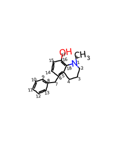 CN1CCCc2c(Cc3ccccc3)ccc(O)c21